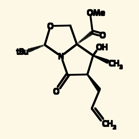 C=CC[C@H]1C(=O)N2[C@H](C(C)(C)C)OC[C@@]2(C(=O)OC)[C@]1(C)O